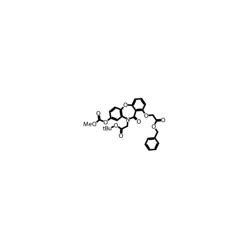 COC(=O)Oc1ccc2c(c1)N(CC(=O)OC(C)(C)C)C(=O)c1c(OCC(=O)OCc3ccccc3)cccc1O2